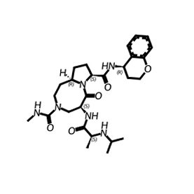 CNC(=O)N1CC[C@H]2CC[C@@H](C(=O)N[C@@H]3CCOc4ccccc43)N2C(=O)[C@@H](NC(=O)[C@H](C)NC(C)C)C1